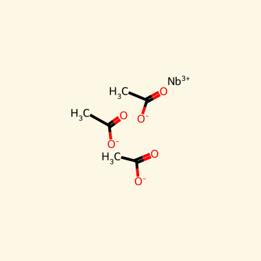 CC(=O)[O-].CC(=O)[O-].CC(=O)[O-].[Nb+3]